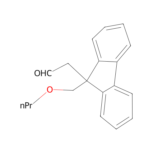 CCCOCC1(CC=O)c2ccccc2-c2ccccc21